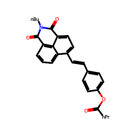 CCCCN1C(=O)c2cccc3c(C=Cc4ccc(OC(=O)CCC)cc4)ccc(c23)C1=O